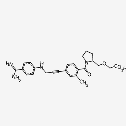 Cc1cc(C#CCNc2ccc(C(=N)N)cc2)ccc1C(=O)N1CCCC1COCC(=O)O